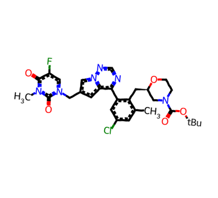 Cc1cc(Cl)cc(-c2ncnn3cc(Cn4cc(F)c(=O)n(C)c4=O)cc23)c1C[C@@H]1CN(C(=O)OC(C)(C)C)CCO1